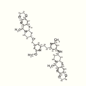 COc1cc(COC2CCN(C(C)c3nc4c(cc3F)OCCO4)CC2)cc(CCc2cc(NC3CCN(C(C)c4nc5c(cc4F)OCCO5)CC3)cc(C)n2)n1